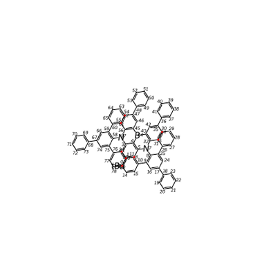 CC(C)(C)c1cc2c3c(c1)N(c1c(-c4ccccc4)cc(-c4ccccc4)cc1-c1ccccc1)c1ccc(-c4ccccc4)cc1B3c1cc(-c3ccccc3)ccc1N2c1c(-c2ccccc2)cc(-c2ccccc2)cc1-c1ccccc1